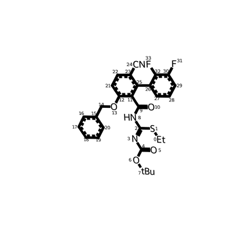 CCS/C(=N\C(=O)OC(C)(C)C)NC(=O)c1c(OCc2ccccc2)ccc(C#N)c1-c1cccc(F)c1F